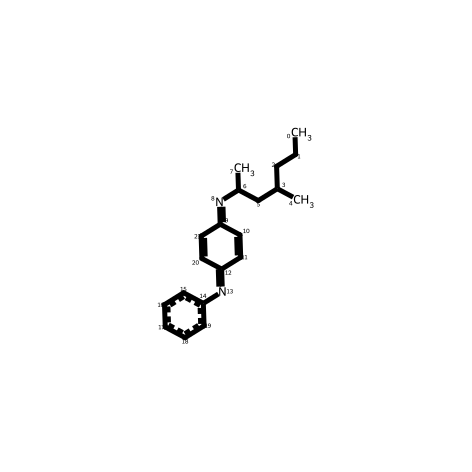 CCCC(C)CC(C)N=C1C=CC(=Nc2ccccc2)C=C1